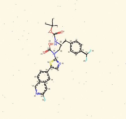 CC(C)(C)OC(=O)N[C@@H](Cc1ccc(C(F)F)cc1)CN(C(=O)O)c1ncc(-c2ccc3cnc(F)cc3c2)s1